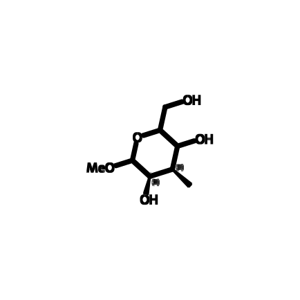 COC1OC(CO)C(O)[C@@H](C)[C@H]1O